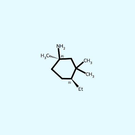 CC[C@H]1CC[C@@](C)(N)CC1(C)C